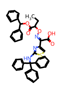 CCC(ON=C(C(=O)O)c1csc(NC(c2ccccc2)(c2ccccc2)c2ccccc2)n1)C(=O)OC(c1ccccc1)c1ccccc1